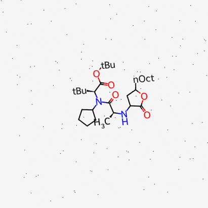 CCCCCCCCC1CC(N[C@@H](C)C(=O)N(C2CCCC2)[C@H](C(=O)OC(C)(C)C)C(C)(C)C)C(=O)O1